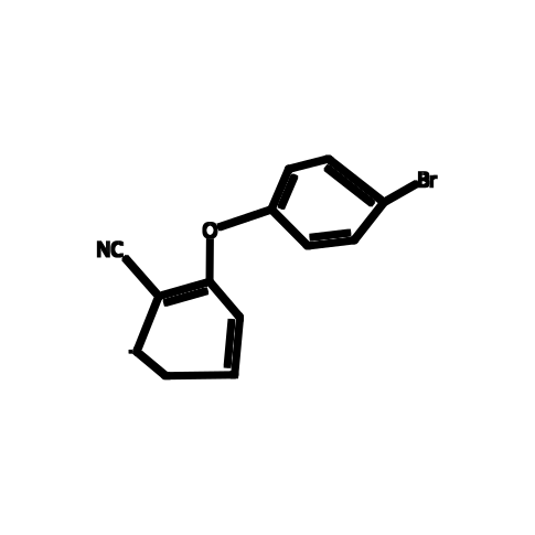 N#CC1=C(Oc2ccc(Br)cc2)C=CC[CH]1